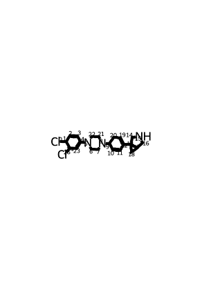 ClC1C=CC(N2CCN(C3C=CC(C45CNCC4C5)=CC3)CC2)=CC1Cl